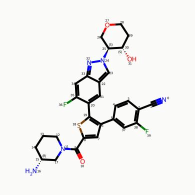 N#Cc1ccc(-c2cc(C(=O)N3CCC[C@@H](N)C3)sc2-c2cc3cn([C@H]4COCC[C@@H]4O)nc3cc2F)cc1F